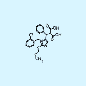 CCCSc1ncc(C(c2ccccc2)C(C(=O)O)C(=O)O)n1Cc1ccccc1Cl